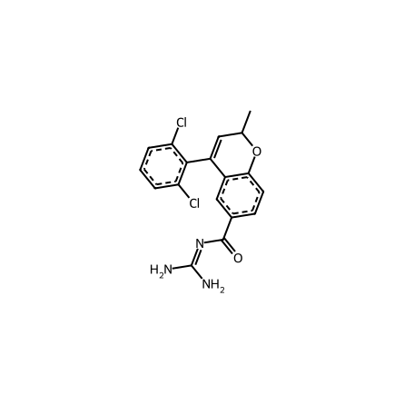 CC1C=C(c2c(Cl)cccc2Cl)c2cc(C(=O)N=C(N)N)ccc2O1